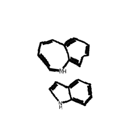 C1=CNc2ccccc2C=C1.c1ccc2[nH]ccc2c1